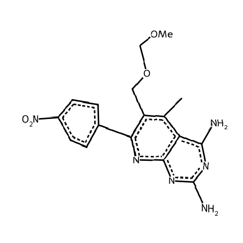 COCOCc1c(-c2ccc([N+](=O)[O-])cc2)nc2nc(N)nc(N)c2c1C